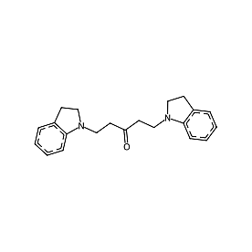 O=C(CCN1CCc2ccccc21)CCN1CCc2ccccc21